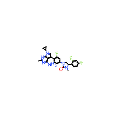 Cc1nc(N)c2c(-c3ccc(N4CC(c5ccc(F)cc5F)N(C)C4=O)cc3F)cn(C3CC3)c2n1